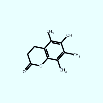 Cc1c(C)c2c(c(C)c1O)CCC(=O)O2